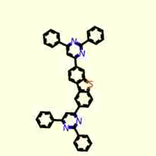 c1ccc(-c2cc(-c3ccc4c(c3)sc3ccc(-c5cc(-c6ccccc6)nc(-c6ccccc6)n5)cc34)nc(-c3ccccc3)n2)cc1